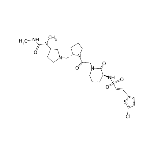 CNC(=O)N(C)C1CCN(C[C@@H]2CCCN2C(=O)CN2CCC[C@H](NS(=O)(=O)/C=C/c3ccc(Cl)s3)C2=O)C1